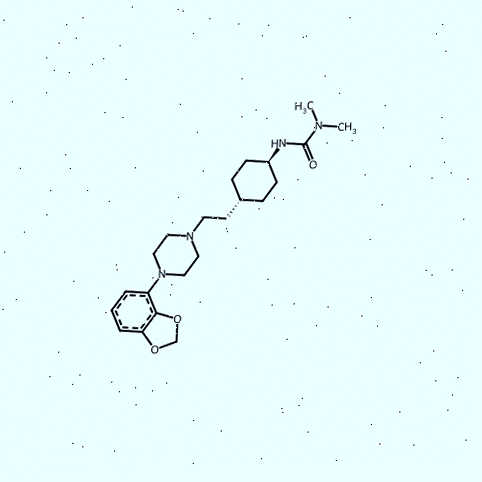 CN(C)C(=O)N[C@H]1CC[C@H](CCN2CCN(c3cccc4c3OCO4)CC2)CC1